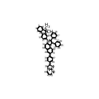 CC1(C)c2ccccc2-c2ccc(-n3c(-c4ccccc4)c(-c4ccccc4)c4c5ccc(-c6ccc(C7CN8C=CC=NC8=N7)cc6)cc5ccc43)cc21